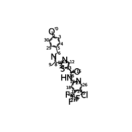 COc1ccc(CN=C(C)c2ncc(C(=O)Nc3cc(C(F)(F)F)c(Cl)cn3)s2)cc1